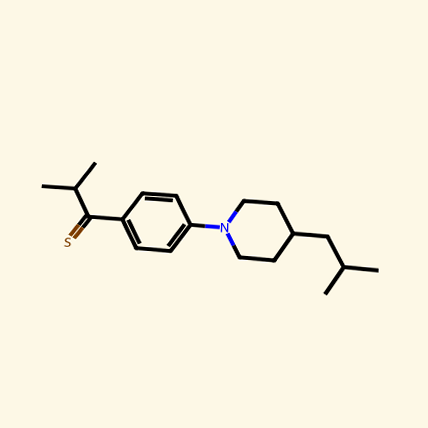 CC(C)CC1CCN(c2ccc(C(=S)C(C)C)cc2)CC1